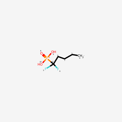 [CH2]CCCC(F)(F)P(=O)(O)O